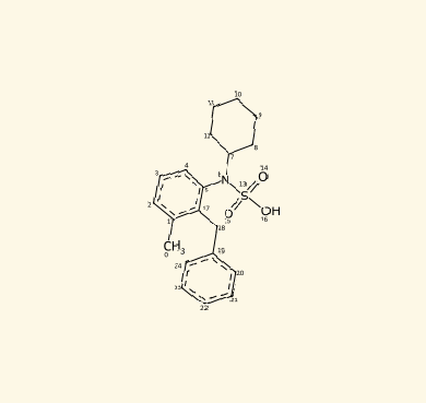 Cc1cccc(N(C2CCCCC2)S(=O)(=O)O)c1Cc1ccccc1